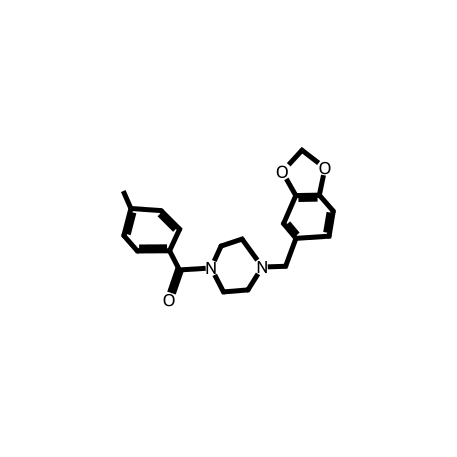 Cc1ccc(C(=O)N2CCN(Cc3ccc4c(c3)OCO4)CC2)cc1